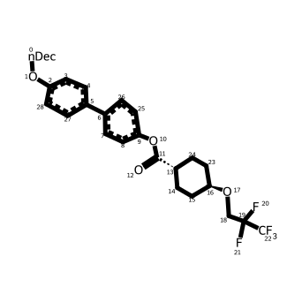 CCCCCCCCCCOc1ccc(-c2ccc(OC(=O)[C@H]3CC[C@H](OCC(F)(F)C(F)(F)F)CC3)cc2)cc1